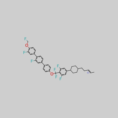 C/C=C/CCC1CCC(c2cc(F)c(C(F)(F)Oc3ccc(-c4ccc(-c5ccc(OCF)c(F)c5)c(F)c4)cc3)c(F)c2)CC1